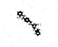 CC1(C)C2CC[C@](C)(C2)C1Nc1nc(N)nc(NCc2ccc(C(=O)Nc3ccccc3N)cc2)n1